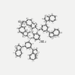 CC(C)(C)c1cc2c3c(c1)N(c1cc(-c4coc5ccccc45)cc(-c4coc5ccccc45)c1)c1oc4ccc(C(C)(C)C)cc4c1B3c1c(oc3ccc(C(C)(C)C)cc13)N2c1cc(-c2coc3ccccc23)cc(-c2coc3ccccc23)c1